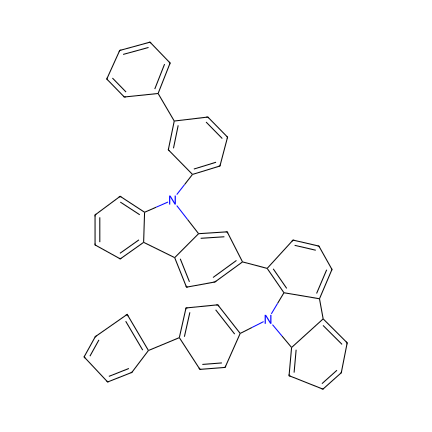 c1ccc(-c2ccc(-n3c4ccccc4c4cccc(-c5ccc6c7ccccc7n(-c7cccc(-c8ccccc8)c7)c6c5)c43)cc2)cc1